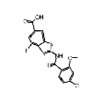 COc1cc(Cl)ccc1C(=O)Nc1nc2c(F)cc(C(=O)O)cc2s1